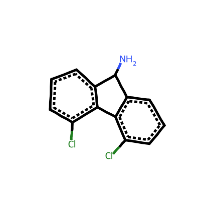 NC1c2cccc(Cl)c2-c2c(Cl)cccc21